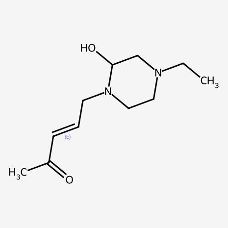 CCN1CCN(C/C=C/C(C)=O)C(O)C1